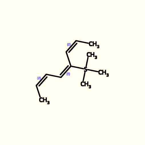 C\C=C/C=C(\C=C/C)S(C)(C)C